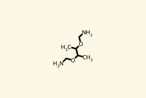 CC(OCN)C(C)OCN